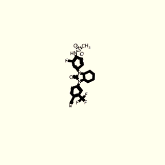 CS(=O)(=O)Nc1ccc(N2C(=O)N(c3ccc(C#N)c(C(F)(F)F)c3)C3CCCCC32)cc1F